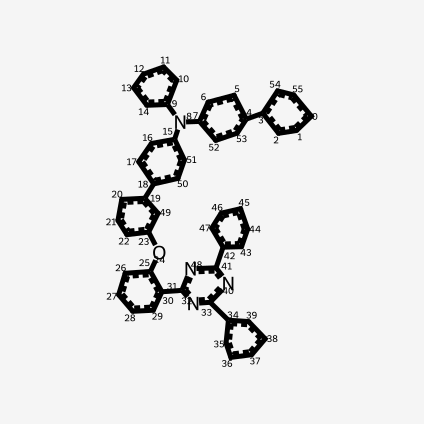 c1ccc(-c2ccc(N(c3ccccc3)c3ccc(-c4cccc(Oc5ccccc5-c5nc(-c6ccccc6)nc(-c6ccccc6)n5)c4)cc3)cc2)cc1